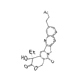 CC[C@@]1(O)C(=O)OCc2c1cc1n(c2=O)Cc2cc3ccc(CCC(C)=O)cc3nc2-1